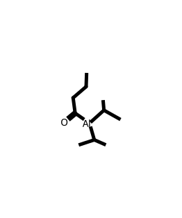 CCC[C](=O)[Al]([CH](C)C)[CH](C)C